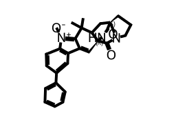 CC1(C)C2=[N+]([O-])c3ccc(-c4ccccc4)cc3C2=C[C@@]23NC(=O)[C@]4(CCCN4C2=O)CC13